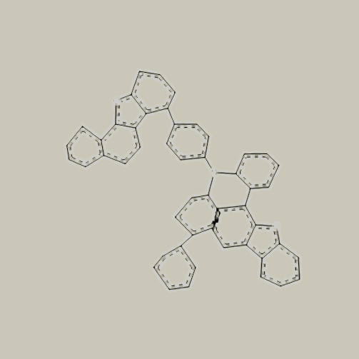 c1ccc(-c2ccc(N(c3ccc(-c4cccc5oc6c7ccccc7ccc6c45)cc3)c3ccccc3-c3cccc4c3oc3ccccc34)cc2)cc1